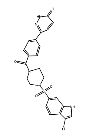 O=C(c1ccc(-c2ccc(=O)[nH]n2)cc1)N1CCN(S(=O)(=O)c2ccc3c(Cl)c[nH]c3c2)CC1